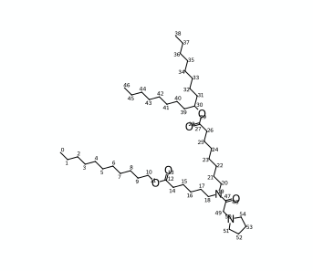 CCCCCCCCCCCOC(=O)CCCCCN(CCCCCCCC(=O)OC(CCCCCCCC)CCCCCCCC)C(=O)CN1CCCC1